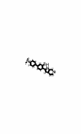 CN(C)c1ccc(-c2ccc(-c3cc4ccncc4[nH]3)c(F)c2)cc1